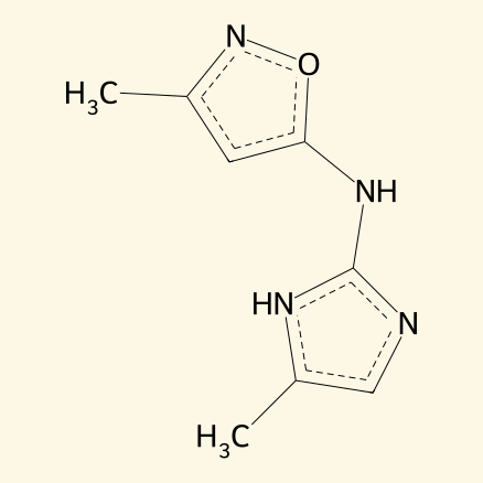 Cc1cc(Nc2ncc(C)[nH]2)on1